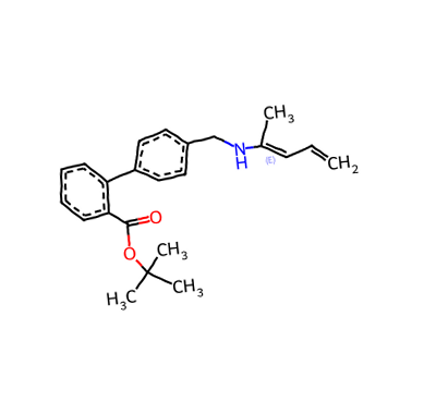 C=C/C=C(\C)NCc1ccc(-c2ccccc2C(=O)OC(C)(C)C)cc1